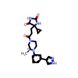 C[C@H]1CN(C(=O)CCC2(C3CC3)NC(=O)NC2=O)CCN1c1cccc(-c2cn[nH]c2)c1